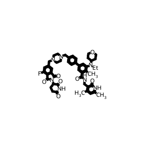 CCN(c1cc(-c2ccc(CN3CCN(Cc4cc(F)c5c(c4)C(=O)N(C4CCC(=O)NC4=O)C5=O)CC3)cc2)cc(C(=O)NCc2c(C)cc(C)[nH]c2=O)c1C)C1CCOCC1